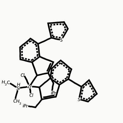 CC(C)CC1=Cc2c(-c3cccs3)cccc2[CH]1[Zr]([Cl])([Cl])([CH]1C(CC(C)C)=Cc2c(-c3cccs3)cccc21)[SiH](C)C